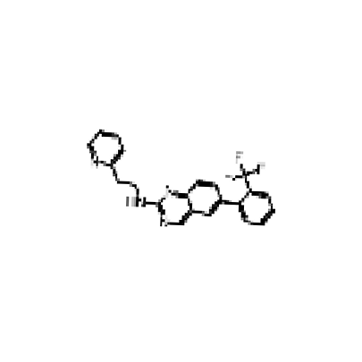 FC(F)(F)c1ccccc1-c1ccc2nc(NCCc3ccccn3)ncc2c1